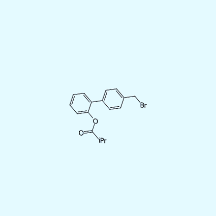 CC(C)C(=O)Oc1ccccc1-c1ccc(CBr)cc1